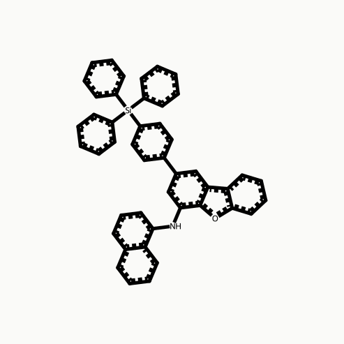 c1ccc([Si](c2ccccc2)(c2ccccc2)c2ccc(-c3cc(Nc4cccc5ccccc45)c4oc5ccccc5c4c3)cc2)cc1